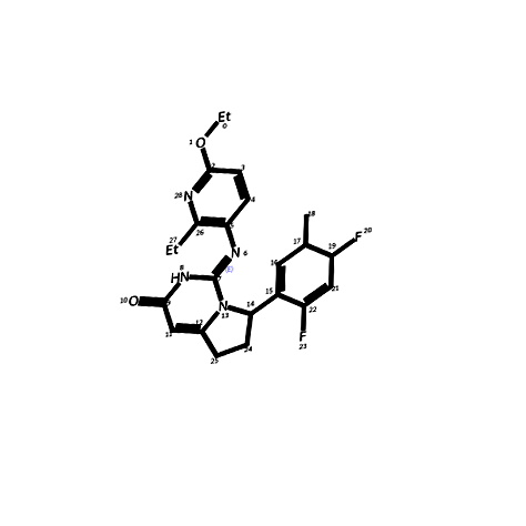 CCOc1ccc(/N=c2\[nH]c(=O)cc3n2C(C2=CC(C)C(F)C=C2F)CC3)c(CC)n1